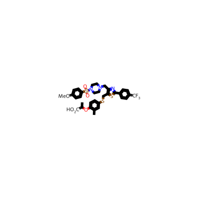 COc1ccc(S(=O)(=O)N2CCN(Cc3nc(-c4ccc(C(F)(F)F)cc4)sc3CSc3ccc(OC(C)C(=O)O)c(C)c3)CC2)cc1